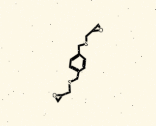 c1cc(CSCC2CO2)ccc1CSCC1CO1